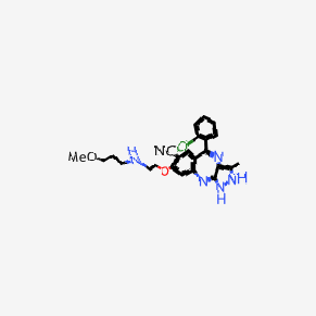 COCCCNCCOc1cc2c(cc1C#N)C(c1ccccc1Cl)=NC1=C(C)NNC1=N2